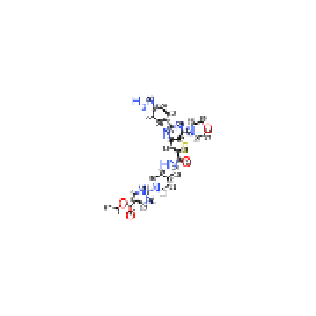 CCOC(=O)c1cnc(N2CCC(CNC(=O)c3cc4nc(-c5ccc(N)cc5)nc(N5CCOCC5)c4s3)CC2)nc1